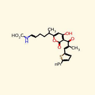 CCCc1ccc(C=C(C)C(=O)c2c(O)cc(C(C)CCC=CNC(=O)O)oc2=O)s1